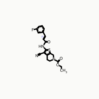 CCOC(=O)N1CCc2c(sc(NC(=O)/C=C/c3cccc(F)c3)c2C#N)C1